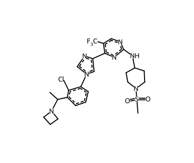 CC(c1cccc(-n2cnc(-c3nc(NC4CCN(S(C)(=O)=O)CC4)ncc3C(F)(F)F)c2)c1Cl)N1CCC1